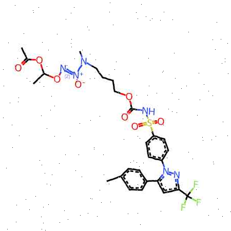 CC(=O)OC(C)O/N=[N+](\[O-])N(C)CCCCOC(=O)NS(=O)(=O)c1ccc(-n2nc(C(F)(F)F)cc2-c2ccc(C)cc2)cc1